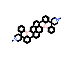 CN1CCC2(CC1)c1ccccc1B1c3c(cccc32)-c2ccc3cc4c5c(ccc6cc1c2c3c65)-c1cccc2c1B4c1ccccc1C21CCN(C)CC1